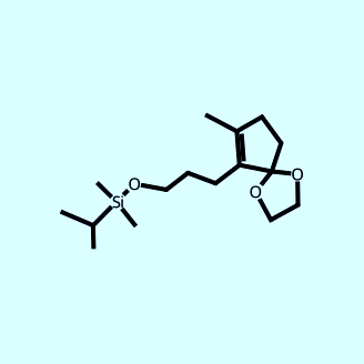 CC1=C(CCCO[Si](C)(C)C(C)C)C2(CC1)OCCO2